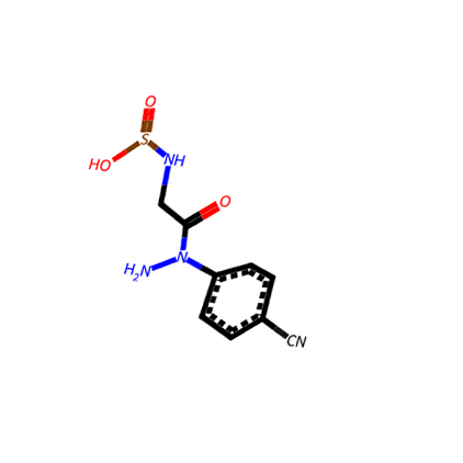 N#Cc1ccc(N(N)C(=O)CNS(=O)O)cc1